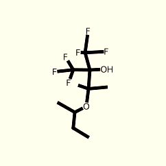 CCC(C)OC(C)(C)C(O)(C(F)(F)F)C(F)(F)F